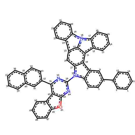 c1ccc(-c2ccc3c(c2)c2c4c5ccccc5n5c6ccccc6c(cc2n3-c2nc(-c3ccc6ccccc6c3)c3c(n2)oc2ccccc23)c45)cc1